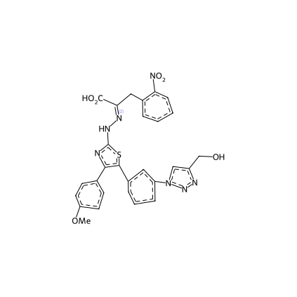 COc1ccc(-c2nc(N/N=C(/Cc3ccccc3[N+](=O)[O-])C(=O)O)sc2-c2cccc(-n3cc(CO)nn3)c2)cc1